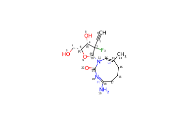 C#CC1(F)[C@@H](O)[C@@H](CO)O[C@H]1N1/C=C(/C)CCC/C(N)=N\C1=O